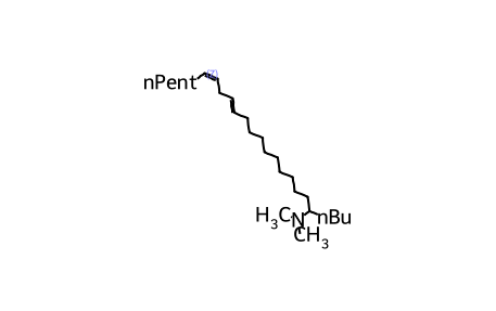 CCCCC/C=C\CC=CCCCCCCCCCC(CCCC)N(C)C